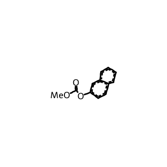 COC(=O)Oc1ccc2ccccc2c1